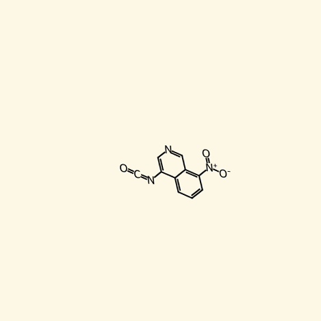 O=C=Nc1cncc2c([N+](=O)[O-])cccc12